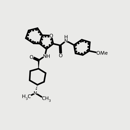 COc1ccc(NC(=O)c2oc3ccccc3c2NC(=O)[C@H]2CC[C@H](N(C)C)CC2)cc1